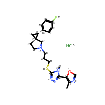 Cc1ncoc1-c1nnc(SCCCN2CC[C@]3(C[C@@H]3c3ccc(F)cc3)C2)n1C.Cl